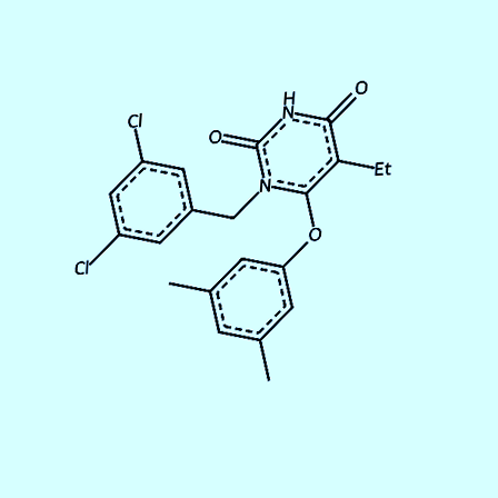 CCc1c(Oc2cc(C)cc(C)c2)n(Cc2cc(Cl)cc(Cl)c2)c(=O)[nH]c1=O